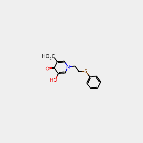 O=C(O)c1cn(CCSc2ccccc2)cc(O)c1=O